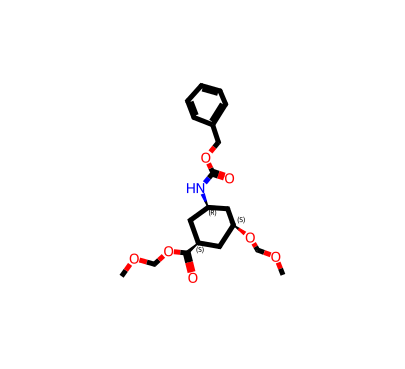 COCOC(=O)[C@H]1C[C@@H](NC(=O)OCc2ccccc2)C[C@@H](OCOC)C1